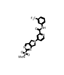 CNS(=O)(=O)c1ncc2c(n1)CN(c1ccnc(C(=O)Nc3cccc(C(F)(F)F)c3)c1)C2